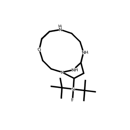 CC(C)(C)[Si](F)(C1CC2NCCNCCOCCN1N2)C(C)(C)C